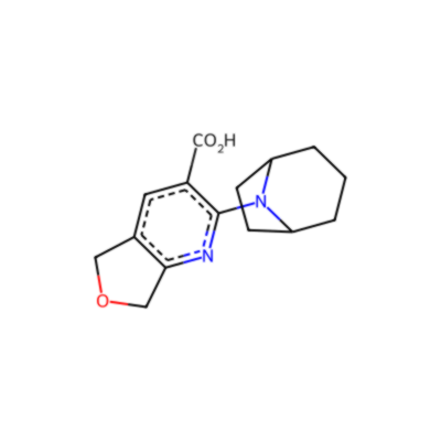 O=C(O)c1cc2c(nc1N1C3CCCC1CC3)COC2